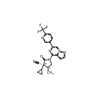 C[C@@H]1CN(c2nc(-c3ccc(C(F)(F)F)nc3)cn3nccc23)C(=O)[C@]1(C#N)C1CC1